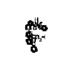 O=C(Nc1nc2ccccc2s1)c1cccc2c1CN(c1ccc(-c3cccc(OC4CCCCC4)c3Cl)c(C(=O)O)n1)CC2